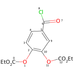 CCOC(=O)Oc1ccc(C(=O)Cl)cc1OC(=O)OCC